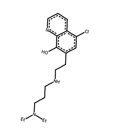 CCN(CC)CCCNCCc1cc(Cl)c2cccnc2c1O